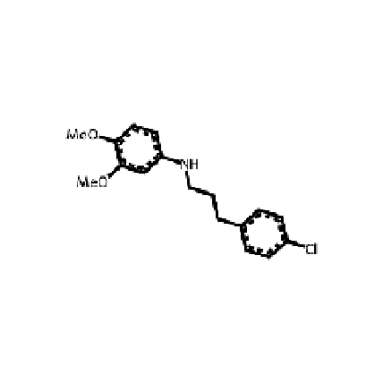 COc1ccc(NCCCc2ccc(Cl)cc2)cc1OC